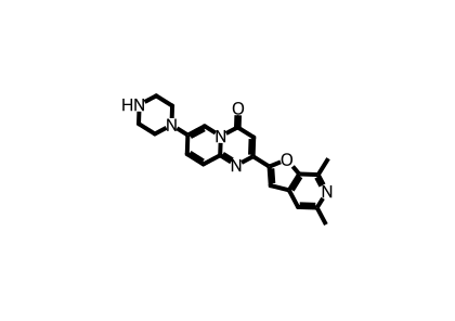 Cc1cc2cc(-c3cc(=O)n4cc(N5CCNCC5)ccc4n3)oc2c(C)n1